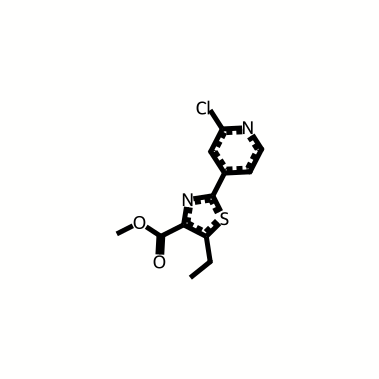 CCc1sc(-c2ccnc(Cl)c2)nc1C(=O)OC